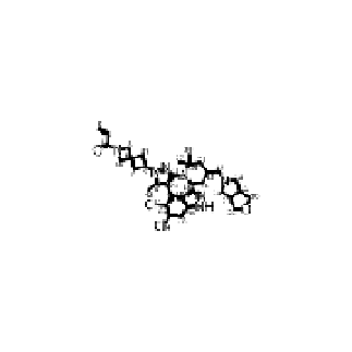 C=CC(=O)N1CC2(CC(n3nc(N4CCC(CN5CC6COCC6C5)CC4(C)C)c(-c4c(Cl)c(Cl)cc5[nH]ncc45)c3C)C2)C1